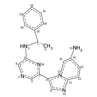 C[C@H](Nc1cncc(-c2cnc3ccc(N)cn23)n1)c1ccccc1